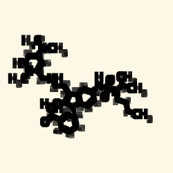 CCCCN(C(C)C)S(=O)(=O)Nc1ccc2[nH]c(C)c(CCNCC3=CC(N(C)C)=CNN3C)c2c1.O=C(O)c1ccccc1